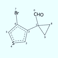 O=CC1(c2cscc2Br)CC1